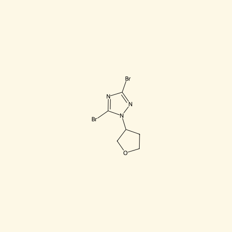 Brc1nc(Br)n(C2CCOC2)n1